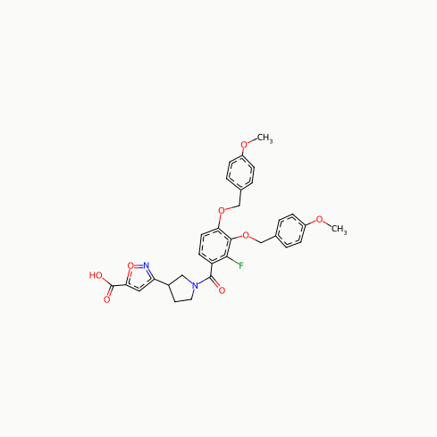 COc1ccc(COc2ccc(C(=O)N3CCC(c4cc(C(=O)O)on4)C3)c(F)c2OCc2ccc(OC)cc2)cc1